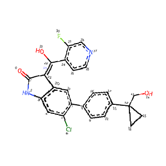 O=C1Nc2cc(Cl)c(-c3ccc(C4(CO)CC4)cc3)cc2/C1=C(/O)c1ccncc1F